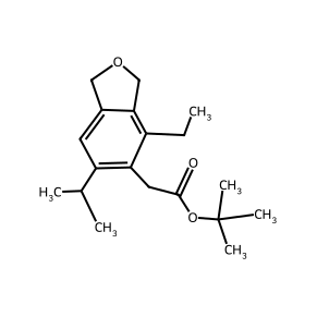 CCc1c2c(cc(C(C)C)c1CC(=O)OC(C)(C)C)COC2